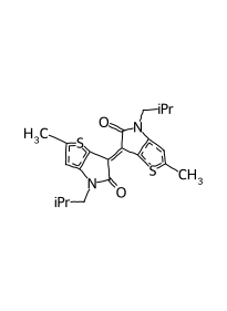 Cc1cc2c(s1)/C(=C1\C(=O)N(CC(C)C)c3cc(C)sc31)C(=O)N2CC(C)C